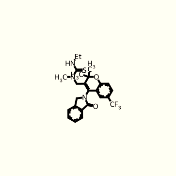 CCNC(=S)N(C)CC1=C(N2Cc3ccccc3C2=O)c2cc(C(F)(F)F)ccc2OC1(C)C